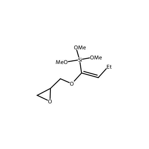 CCC=C(OCC1CO1)[Si](OC)(OC)OC